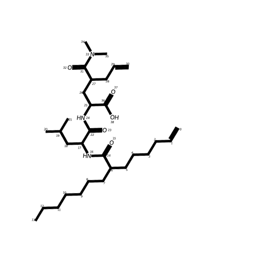 C=CCCCCC(CCCCCCC)C(=O)NC(CC(C)C)C(=O)NC(CC(CC=C)C(=O)N(C)C)C(=O)O